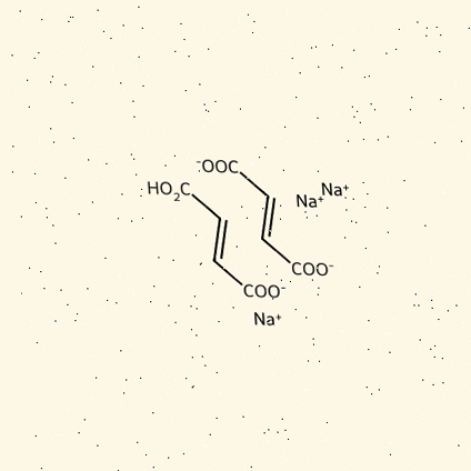 O=C([O-])C=CC(=O)O.O=C([O-])C=CC(=O)[O-].[Na+].[Na+].[Na+]